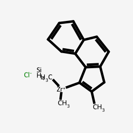 CC1=[C]([Zr+]([CH3])[CH3])c2c(ccc3ccccc23)C1.[Cl-].[SiH4]